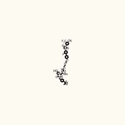 Cc1ncsc1-c1ccc(CNC(=O)[C@@H]2C[C@@H](O)CN2C(=O)[C@@H](NC(=O)COCCOCCOc2ccc(-c3ccc(N4CC(=O)N(c5ccc(C#N)c(C(F)(F)F)c5)C4=S)cc3F)cc2)C(C)(C)C)cc1